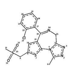 Cc1nnc2n1-c1sc(CS(C)(=O)=O)cc1C(c1ccccc1Cl)=NC2